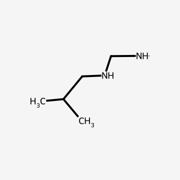 CC(C)CNC[NH]